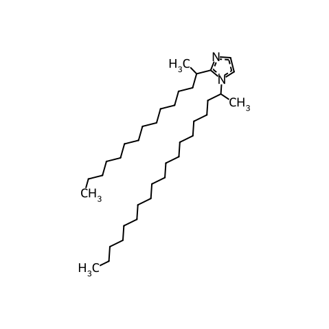 CCCCCCCCCCCCCCCCCC(C)n1ccnc1C(C)CCCCCCCCCCCCC